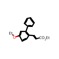 CCOC(=O)/C=C/c1ccc(OCC)cc1-c1ccccc1